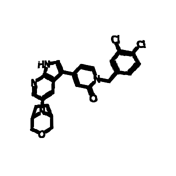 O=c1cc(-c2c[nH]c3ncc(N4C5CCC4COC5)cc23)ccn1Cc1ccc(Cl)c(Cl)c1